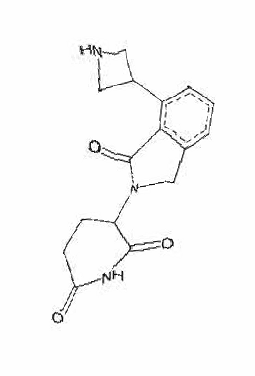 O=C1CCC(N2Cc3cccc(C4CNC4)c3C2=O)C(=O)N1